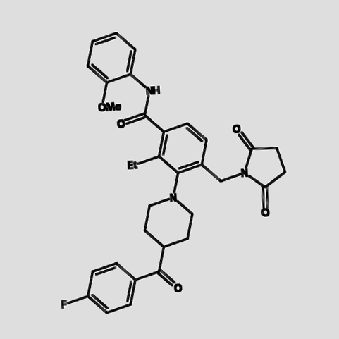 CCc1c(C(=O)Nc2ccccc2OC)ccc(CN2C(=O)CCC2=O)c1N1CCC(C(=O)c2ccc(F)cc2)CC1